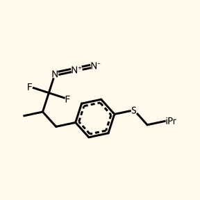 CC(C)CSc1ccc(CC(C)C(F)(F)N=[N+]=[N-])cc1